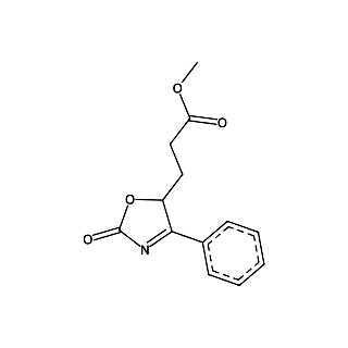 COC(=O)CCC1OC(=O)N=C1c1ccccc1